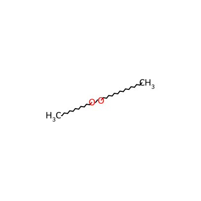 CCCCCCCCCCCCCCCOCCOCCCCCCCCCCCC